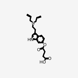 C=CCN(CC=C)CCc1c[nH]c2cc(OC(=O)CCC(=O)O)ccc12